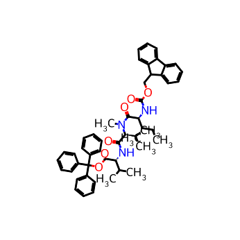 CC[C@H](C)[C@H](NC(=O)OCC1c2ccccc2-c2ccccc21)C(=O)N(C)[C@H](C(=O)N[C@@H](C(=O)OC(c1ccccc1)(c1ccccc1)c1ccccc1)C(C)C)C(C)C